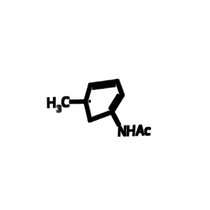 C[C]1C=CC=C(NC(C)=O)C1